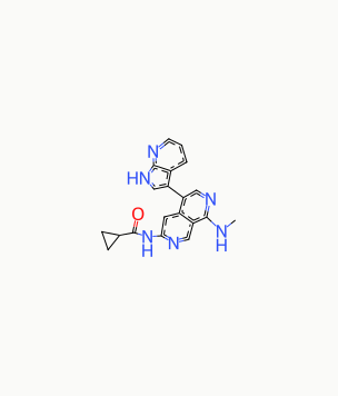 CNc1ncc(-c2c[nH]c3ncccc23)c2cc(NC(=O)C3CC3)ncc12